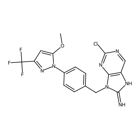 COc1cc(C(F)(F)F)nn1-c1ccc(Cn2c(=N)[nH]c3cnc(Cl)nc32)cc1